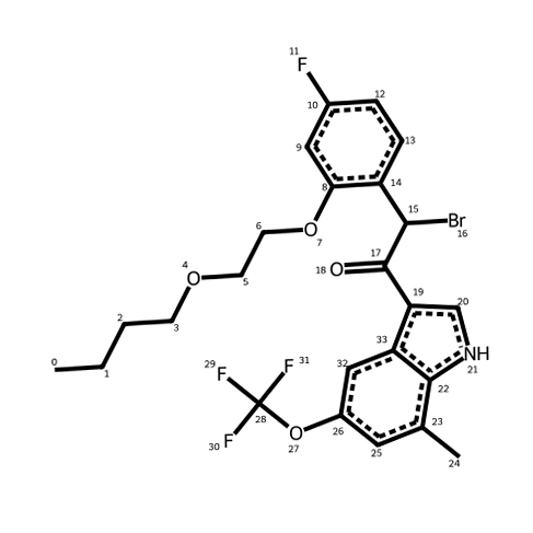 CCCCOCCOc1cc(F)ccc1C(Br)C(=O)c1c[nH]c2c(C)cc(OC(F)(F)F)cc12